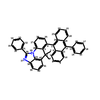 CC1(C)c2c(-c3c4ccccc4c(-c4ccccc4)c4ccccc34)cccc2-n2c(-c3ccccc3)nc3cccc1c32